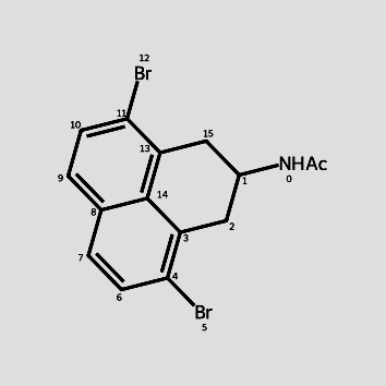 CC(=O)NC1Cc2c(Br)ccc3ccc(Br)c(c23)C1